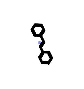 [c]1ccc(/C=C/c2ccccc2)cc1